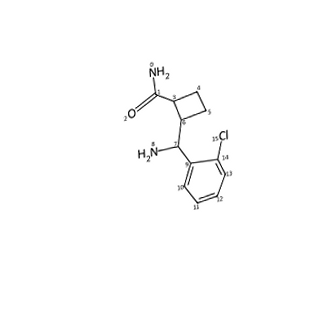 NC(=O)C1CCC1C(N)c1ccccc1Cl